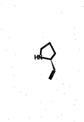 C=C[C@H]1CCCN1